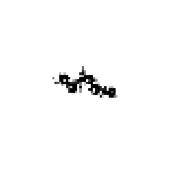 COc1cccc(-c2nccc3[nH]c(-c4n[nH]c5ccc(-c6cncc(NC(=O)C7CCCC7)c6)nc45)nc23)c1